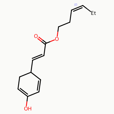 CC/C=C\CCOC(=O)C=CC1C=CC(O)=CC1